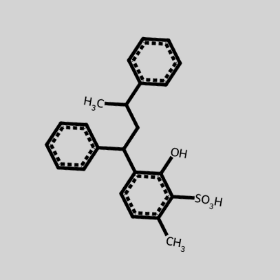 Cc1ccc(C(CC(C)c2ccccc2)c2ccccc2)c(O)c1S(=O)(=O)O